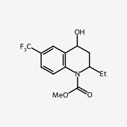 CCC1CC(O)c2cc(C(F)(F)F)ccc2N1C(=O)OC